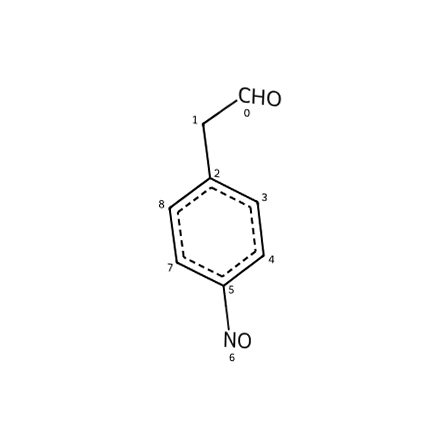 O=CCc1ccc(N=O)cc1